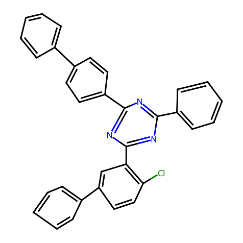 Clc1ccc(-c2ccccc2)cc1-c1nc(-c2ccccc2)nc(-c2ccc(-c3ccccc3)cc2)n1